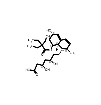 CCC(CC)(CC)C(=O)O[C@H]1C[C@H](O)C=C2C=C[C@@H](C)[C@H](CC[C@@H](O)C[C@@H](O)CC(=O)O)[C@H]21